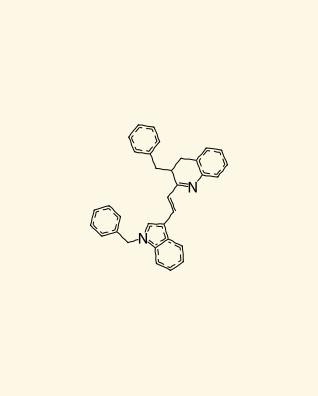 C(=Cc1cn(Cc2ccccc2)c2ccccc12)C1=Nc2ccccc2CC1Cc1ccccc1